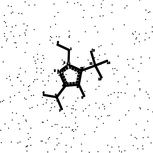 CCn1nc(C(C)C)c(C)c1C(C)(C)C